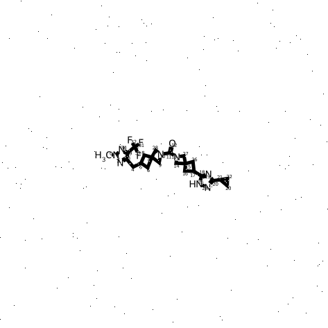 Cn1nc(CC2CC3(C2)CN(C(=O)N2CC4(CC(c5nc(C6CC6)n[nH]5)C4)C2)C3)c(C(F)(F)F)n1